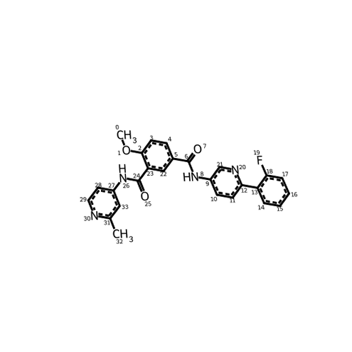 COc1ccc(C(=O)Nc2ccc(-c3ccccc3F)nc2)cc1C(=O)Nc1ccnc(C)c1